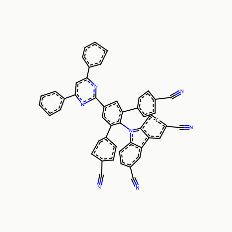 N#Cc1ccc(-c2cc(-c3nc(-c4ccccc4)cc(-c4ccccc4)n3)cc(-c3ccc(C#N)cc3)c2-n2c3ccc(C#N)cc3c3cc(C#N)ccc32)cc1